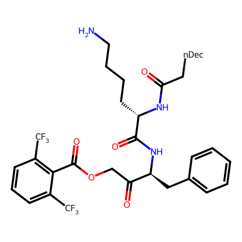 CCCCCCCCCCCC(=O)N[C@@H](CCCCN)C(=O)N[C@@H](Cc1ccccc1)C(=O)COC(=O)c1c(C(F)(F)F)cccc1C(F)(F)F